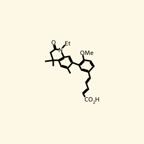 CCN1C(=O)CC(C)(C)c2cc(C)c(-c3cc(C=CC=CC(=O)O)ccc3OC)cc21